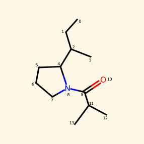 CCC(C)C1CCCN1C(=O)C(C)C